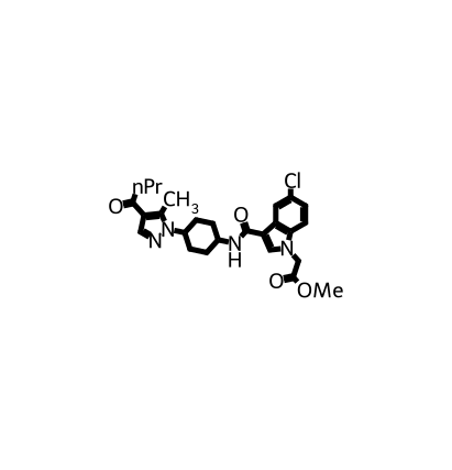 CCCC(=O)c1cnn(C2CCC(NC(=O)c3cn(CC(=O)OC)c4ccc(Cl)cc34)CC2)c1C